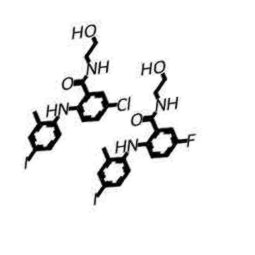 Cc1cc(I)ccc1Nc1ccc(Cl)cc1C(=O)NCCO.Cc1cc(I)ccc1Nc1ccc(F)cc1C(=O)NCCO